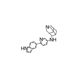 c1cc2cc(-c3ccc(NC4C5CC6CC4CN(C6)C5)cn3)ccc2[nH]1